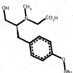 CCCCOc1ccc(C[C@@H](CO)N(C)CC(=O)O)cc1